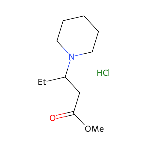 CCC(CC(=O)OC)N1CCCCC1.Cl